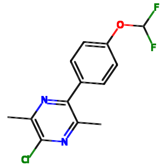 Cc1nc(-c2ccc(OC(F)F)cc2)c(C)nc1Cl